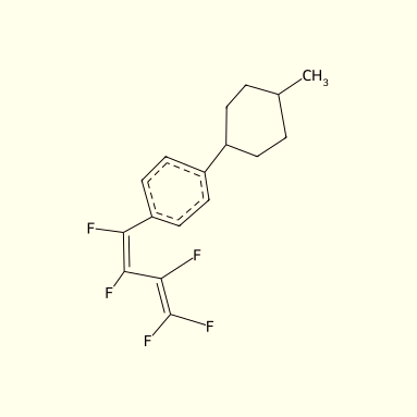 CC1CCC(c2ccc(/C(F)=C(/F)C(F)=C(F)F)cc2)CC1